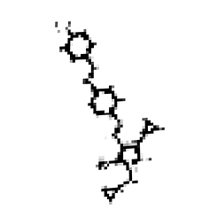 Cc1ccc(N=Nc2ccc(N=Nc3c(C4CC4)nn(CC4CC4)c3O)cc2)cc1